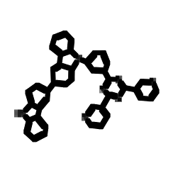 c1cncc(-c2nc(-c3cccnc3)nc(-c3cccc(-n4c5ccccc5c5cc(-c6ccc7[nH]c8ccccc8c7c6)ccc54)c3)n2)c1